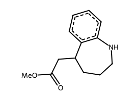 COC(=O)CC1CCCNc2ccccc21